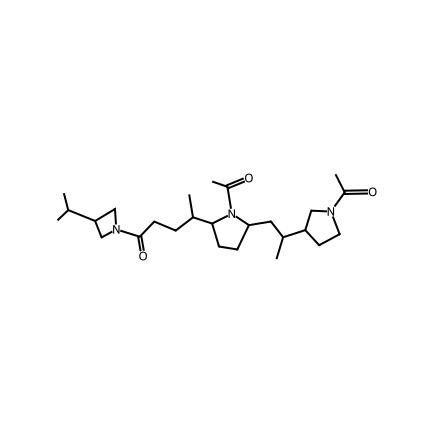 CC(=O)N1CCC(C(C)CC2CCC(C(C)CCC(=O)N3CC(C(C)C)C3)N2C(C)=O)C1